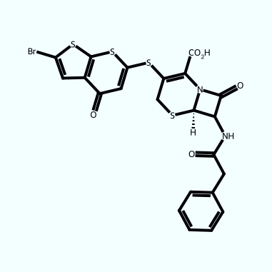 O=C(Cc1ccccc1)NC1C(=O)N2C(C(=O)O)=C(Sc3cc(=O)c4cc(Br)sc4s3)CS[C@H]12